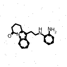 Nc1ccccc1NCCc1c2n(c3ccccc13)C(=O)CCC2